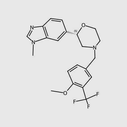 COc1ccc(CN2CCO[C@@H](c3ccc4ncn(C)c4c3)C2)cc1C(F)(F)F